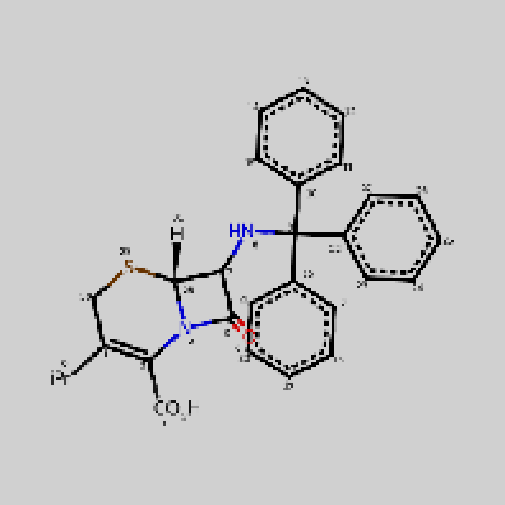 CC(C)C1=C(C(=O)O)N2C(=O)C(NC(c3ccccc3)(c3ccccc3)c3ccccc3)[C@H]2SC1